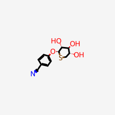 N#Cc1ccc(O[C@H]2SC[C@@H](O)[C@H](O)[C@H]2O)cc1